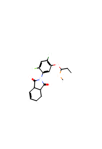 CCC(Oc1cc(N2C(=O)C3C=CCCC3C2=O)c(F)cc1Cl)PC